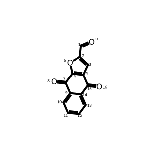 O=[C]c1cc2c(o1)C(=O)c1ccccc1C2=O